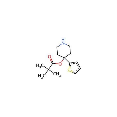 CC(C)(C)C(=O)OC1(c2cccs2)CCNCC1